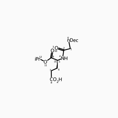 CCCCCCCCCCCC(=O)N[C@@H](CCC(=O)O)C(=O)OC(C)C